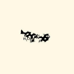 Cc1nc(C2CC2)ccc1-c1cnc(NCc2c(F)ccc3c2CCO3)n2cnnc12